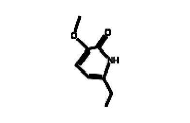 CCc1ccc(OC)c(=O)[nH]1